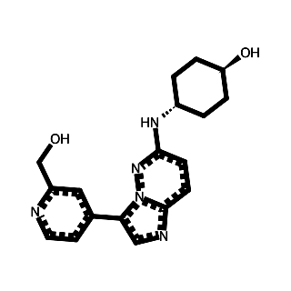 OCc1cc(-c2cnc3ccc(N[C@H]4CC[C@H](O)CC4)nn23)ccn1